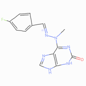 CN(/N=C/c1ccc(F)cc1)c1nc(=O)[nH]c2[nH]cnc12